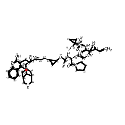 C=CC1PC1(NC(=O)[C@@H]1CCCN1C(=O)[C@@H](NC(=O)OC1C[C@H]1CCCCCc1c(O)nc2ccccc2c1OC1C2COCC1CN(CCOC)C2)C(C)(C)C)C(=O)NS(=O)(=O)C1(C)CC1